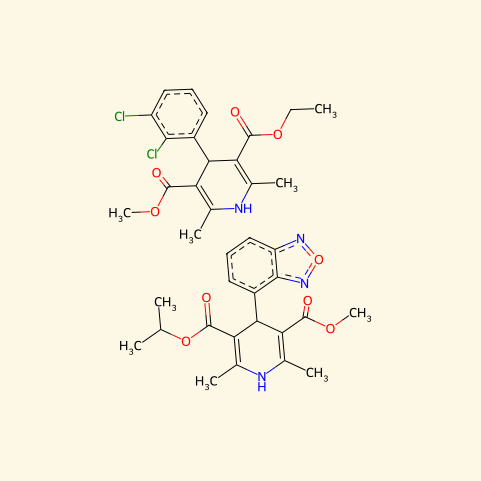 CCOC(=O)C1=C(C)NC(C)=C(C(=O)OC)C1c1cccc(Cl)c1Cl.COC(=O)C1=C(C)NC(C)=C(C(=O)OC(C)C)C1c1cccc2nonc12